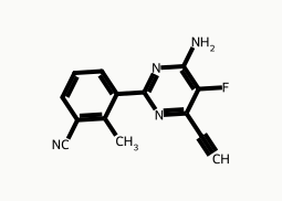 C#Cc1nc(-c2cccc(C#N)c2C)nc(N)c1F